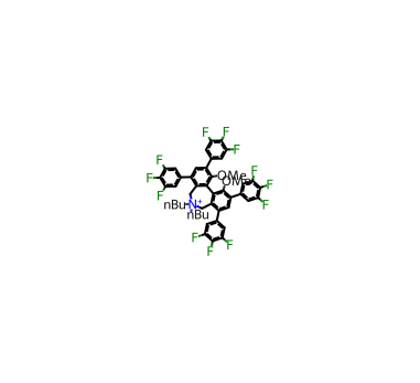 CCCC[N+]1(CCCC)Cc2c(-c3cc(F)c(F)c(F)c3)cc(-c3cc(F)c(F)c(F)c3)c(OC)c2-c2c(c(-c3cc(F)c(F)c(F)c3)cc(-c3cc(F)c(F)c(F)c3)c2OC)C1